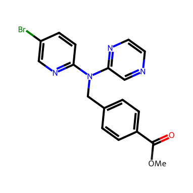 COC(=O)c1ccc(CN(c2ccc(Br)cn2)c2cnccn2)cc1